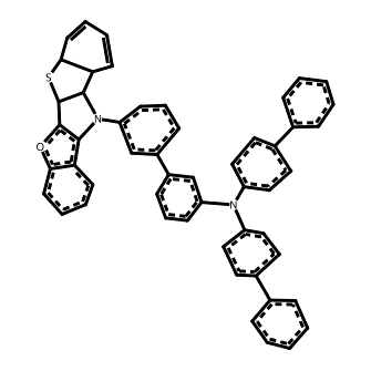 C1=CC2SC3c4oc5ccccc5c4N(c4cccc(-c5cccc(N(c6ccc(-c7ccccc7)cc6)c6ccc(-c7ccccc7)cc6)c5)c4)C3C2C=C1